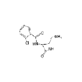 NCC1NC(=O)C1NC(=O)c1ccccc1Cl